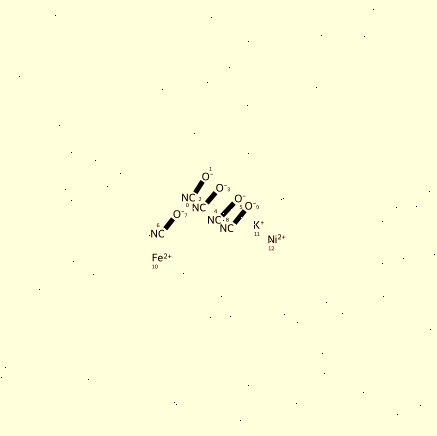 N#C[O-].N#C[O-].N#C[O-].N#C[O-].N#C[O-].[Fe+2].[K+].[Ni+2]